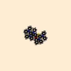 C[C@@H]1CC=CC=C1N1c2cc3c(cc2B2C4=C(C=CCC4)N(c4ccccc4)c4cc(N(c5ccccc5)c5ccccc5)cc1c42)P1(=O)c2ccc4ccccc4c2N(c2ccccc2)c2cc(N(c4ccccc4)c4ccccc4)cc(c21)S3